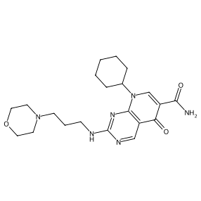 NC(=O)c1cn(C2CCCCC2)c2nc(NCCCN3CCOCC3)ncc2c1=O